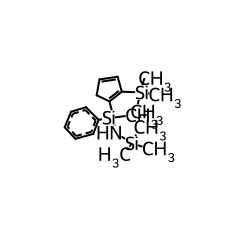 C[Si](C)(C)N[Si](C)(C1=C([Si](C)(C)C)C=CC1)c1ccccc1